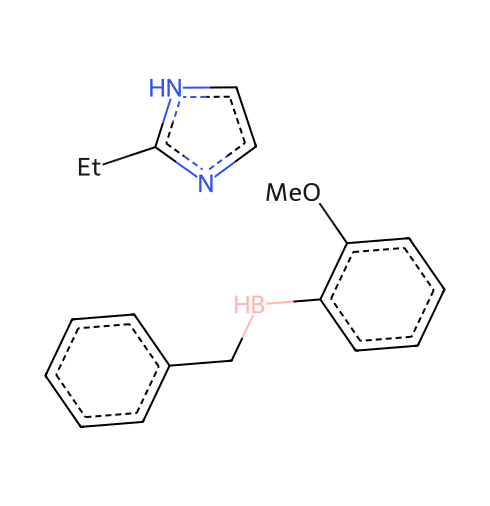 CCc1ncc[nH]1.COc1ccccc1BCc1ccccc1